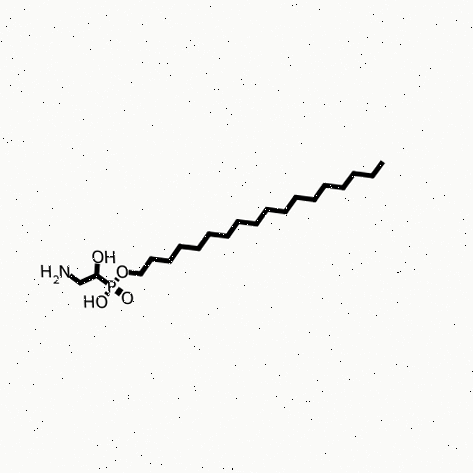 CCCCCCCCCCCCCCCCCCOP(=O)(O)C(O)CN